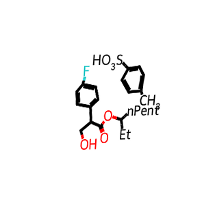 CCCCCC(CC)OC(=O)C(CO)c1ccc(F)cc1.Cc1ccc(S(=O)(=O)O)cc1